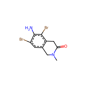 CN1Cc2cc(Br)c(N)c(Br)c2CC1=O